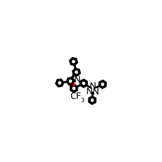 FC(F)(F)c1cccc(-c2cc(-c3nc(-c4ccccc4)nc(-c4ccccc4)n3)ccc2-n2c3ccc(-c4ccccc4)cc3c3cc(-c4ccccc4)ccc32)c1